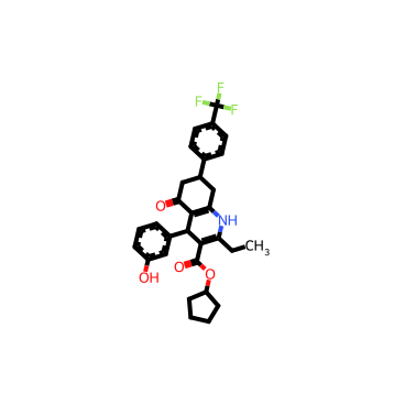 CCC1=C(C(=O)OC2CCCC2)C(c2cccc(O)c2)C2=C(CC(c3ccc(C(F)(F)F)cc3)CC2=O)N1